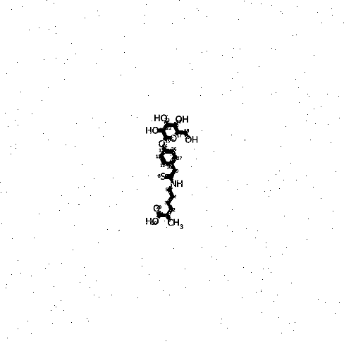 CC(CCCCNC(=S)Cc1ccc(OC2OC(CO)C(O)C(O)C2O)cc1)C(=O)O